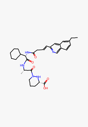 CCc1ccc2cnc(/C=C/CC(=O)N[C@H](C(=O)N[C@@H](C)C(=O)N3CCC[C@@H](C(=O)O)N3)C3CCCCC3)cc2c1